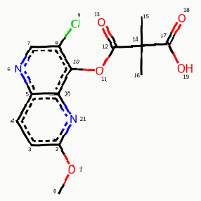 COc1ccc2ncc(Cl)c(OC(=O)C(C)(C)C(=O)O)c2n1